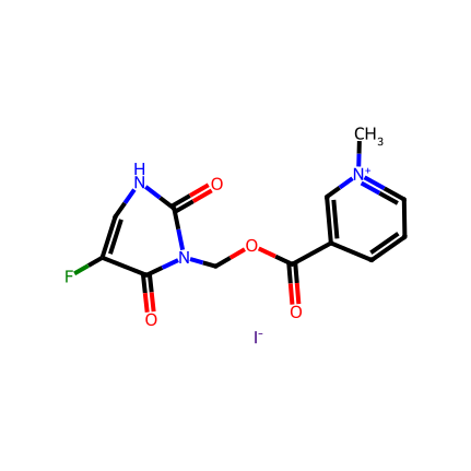 C[n+]1cccc(C(=O)OCn2c(=O)[nH]cc(F)c2=O)c1.[I-]